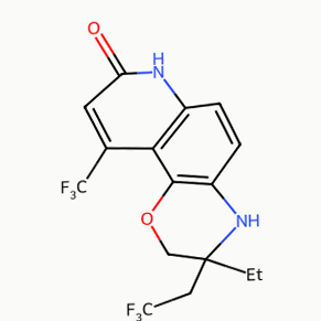 CCC1(CC(F)(F)F)COc2c(ccc3[nH]c(=O)cc(C(F)(F)F)c23)N1